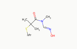 CCCSC(C)(C)C(=O)N(C)C=NO